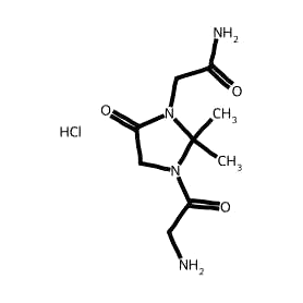 CC1(C)N(CC(N)=O)C(=O)CN1C(=O)CN.Cl